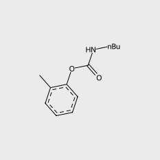 CCCCNC(=O)Oc1ccccc1C